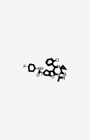 Cc1nnc2n1-c1sc3c(c1C(c1ccccc1Cl)=NC21CC1)C[C@H](C(=O)N[C@H]1CC[C@@H](F)CC1)C3